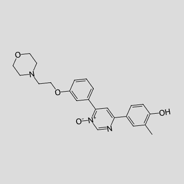 Cc1cc(-c2cc(-c3cccc(OCCN4CCOCC4)c3)[n+]([O-])cn2)ccc1O